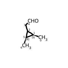 C[C@@H]1C(CC=O)[C@@H]1C